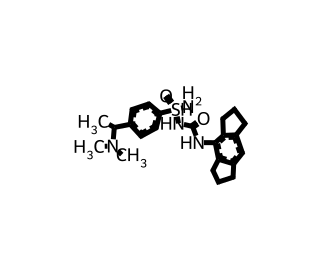 CC(c1ccc([SH](N)(=O)NC(=O)Nc2c3c(cc4c2CCC4)CCC3)cc1)N(C)C